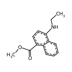 CCNc1ccc(C(=O)OC)c2ccccc12